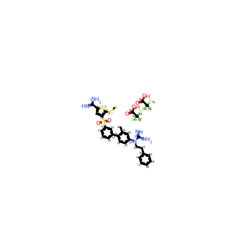 CSc1sc(C(=N)N)cc1S(=O)(=O)c1cccc(-c2ccc(N(CCc3ccccc3)C(=N)N)cc2C)c1.O=C(O)C(F)(F)F.O=C(O)C(F)(F)F